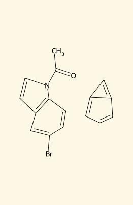 CC(=O)n1ccc2cc(Br)ccc21.c1cc2cc-2c1